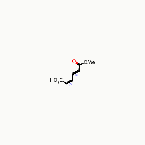 COC(=O)/C=C/C=C\C(=O)O